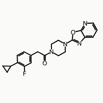 O=C(Cc1ccc(C2CC2)c(F)c1)N1CCN(c2nc3cccnc3o2)CC1